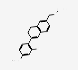 COc1ccc(C2=Cc3ccc(COC=O)cc3CC2)c(Cl)c1